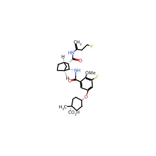 C=C(CCF)NC(=O)[C@H]1[C@@H]2CC[C@@H](C2)[C@H]1NC(=O)c1cc(O[C@H]2CC[C@@](C)(C(=O)O)CC2)cc(F)c1OC